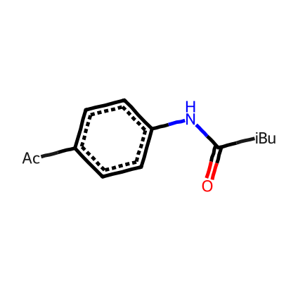 CCC(C)C(=O)Nc1ccc(C(C)=O)cc1